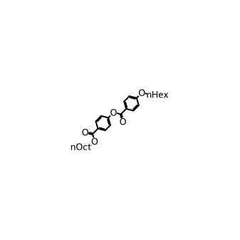 CCCCCCCCOC(=O)c1ccc(OC(=O)c2ccc(OCCCCCC)cc2)cc1